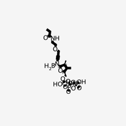 BN(C#CCOCCNC(=O)CC)[C@@H]1O[C@H](COP(=O)(O)OP(=O)(O)OP(=O)(O)O)C(C)[C@@H]1C